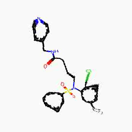 O=C(CCCN(c1cc(C(F)(F)F)ccc1Cl)S(=O)(=O)c1ccccc1)NCc1ccncc1